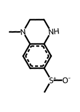 CN1CCNc2cc([S+](C)[O-])ccc21